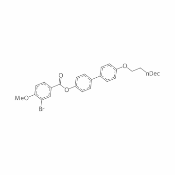 CCCCCCCCCCCCOc1ccc(-c2ccc(OC(=O)c3ccc(OC)c(Br)c3)cc2)cc1